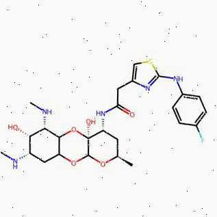 CN[C@H]1CC2OC3O[C@H](C)C[C@@H](NC(=O)Cc4csc(Nc5ccc(F)cc5)n4)[C@]3(O)OC2[C@@H](NC)[C@H]1O